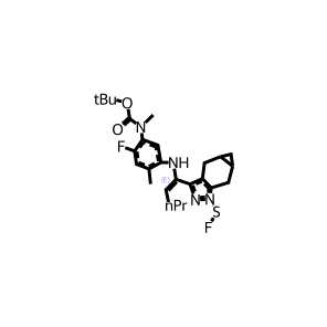 CCC/C=C(/Nc1cc(N(C)C(=O)OC(C)(C)C)c(F)cc1C)c1nn(SF)c2c1CC1CC1C2